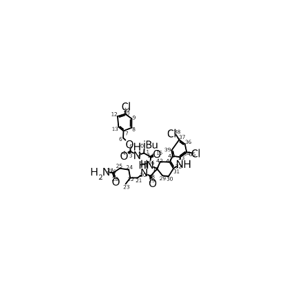 CCC(C)C(NC(=O)OCc1ccc(Cl)cc1)C(=O)NC1(C(=O)NCC(C)CCC(N)=O)CCc2[nH]c3c(Cl)cc(Cl)cc3c2C1